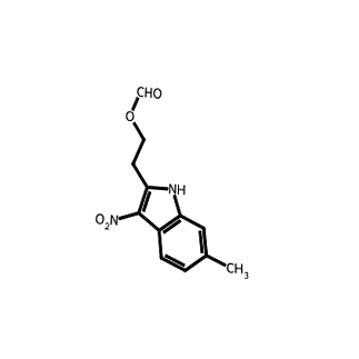 Cc1ccc2c([N+](=O)[O-])c(CCOC=O)[nH]c2c1